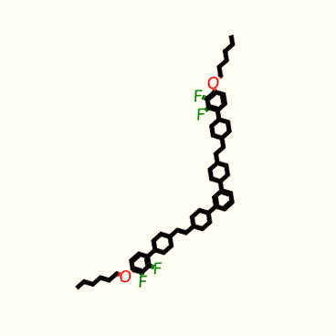 CCCCCCOc1ccc(C2CCC(CCC3CCC(c4cccc(C5CCC(CCC6CCC(c7ccc(OCCCCCC)c(F)c7F)CC6)CC5)c4)CC3)CC2)c(F)c1F